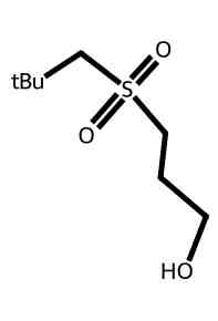 CC(C)(C)CS(=O)(=O)CCCO